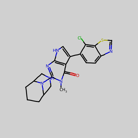 Cn1c(N2C3CCCC2CNC3)nc2[nH]cc(-c3ccc4ncsc4c3Cl)c2c1=O